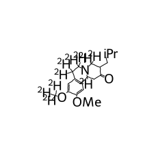 [2H]C([2H])([2H])Oc1cc2c(cc1OC)C1([2H])CC(=O)C(CC(C)C)C([2H])([2H])N1C([2H])([2H])C2([2H])[2H]